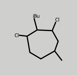 CCC(C)C1C(Cl)CCC(C)CC1Cl